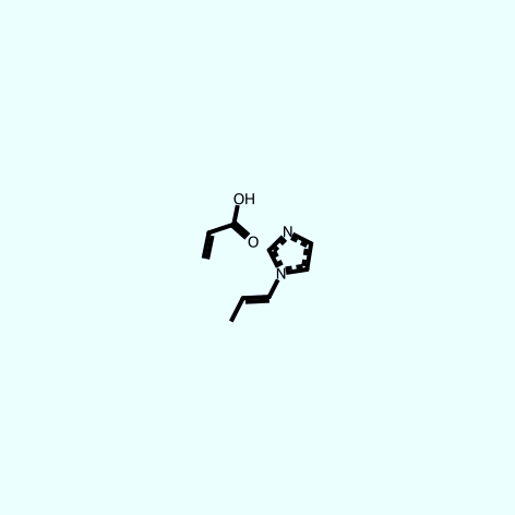 C=CC(=O)O.CC=Cn1ccnc1